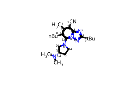 CCCCc1c(C)c(C#N)c2nc(C(C)(C)C)nn2c1N1CC[C@H](N(C)C)C1